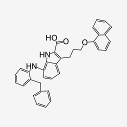 O=C(O)c1[nH]c2c(Nc3ccccc3Cc3ccccc3)cccc2c1CCCOc1cccc2ccccc12